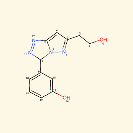 OCCc1cc2n(n1)C(c1cccc(O)c1)N=N2